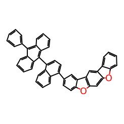 c1ccc(-c2c3ccccc3c(-c3ccc(-c4ccc5oc6cc7oc8ccccc8c7cc6c5c4)c4ccccc34)c3ccccc23)cc1